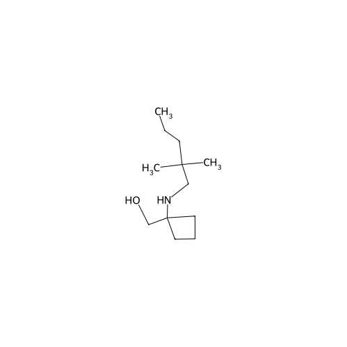 CCCC(C)(C)CNC1(CO)CCC1